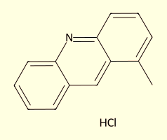 Cc1cccc2nc3ccccc3cc12.Cl